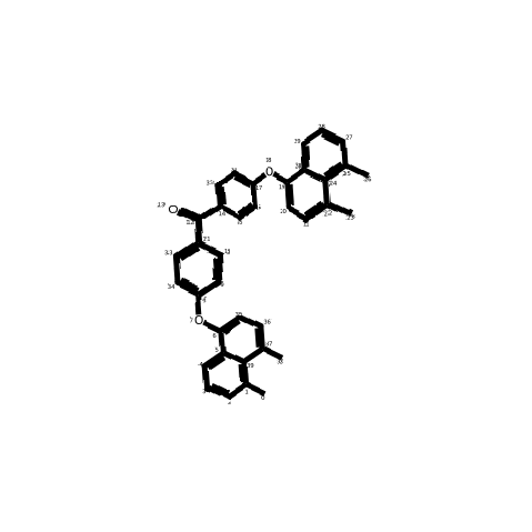 Cc1cccc2c(Oc3ccc(C(=O)c4ccc(Oc5ccc(C)c6c(C)cccc56)cc4)cc3)ccc(C)c12